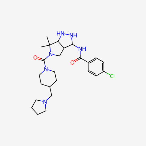 CC1(C)C2NNC(NC(=O)c3ccc(Cl)cc3)C2CN1C(=O)N1CCC(CN2CCCC2)CC1